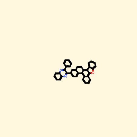 c1ccc(-c2nc3ccccc3nc2-c2ccc3c(ccc4c3c3ccccc3c3oc5ccccc5c43)c2)cc1